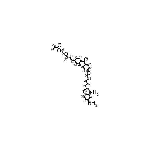 C=C(C)C(=O)OCCOC(=O)/C=C/c1ccc(C(=O)c2ccc(OCCCCCCOc3ccc(N)cc3N)cc2)cc1